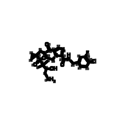 CC(C)(C(O)CN)S(=O)(=O)C1(CN2CCn3c(cnc3C(=O)NCc3ccc(Cl)c(F)c3)C2=O)CC1